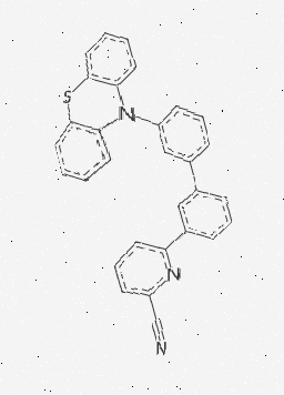 N#Cc1cccc(-c2cccc(-c3cccc(N4c5ccccc5Sc5ccccc54)c3)c2)n1